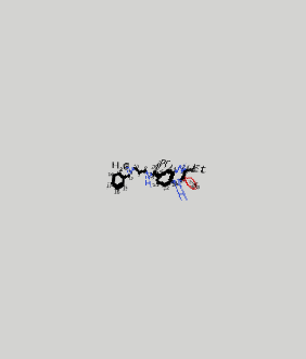 CCc1nc2cc(C(NCCCN(C)Cc3ccccc3)C(C)C)ccc2[nH]c1=O